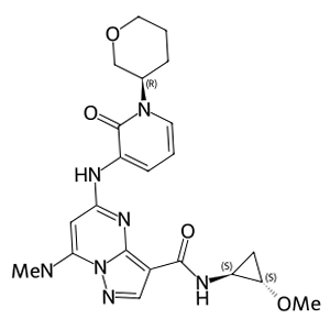 CNc1cc(Nc2cccn([C@@H]3CCCOC3)c2=O)nc2c(C(=O)N[C@H]3C[C@@H]3OC)cnn12